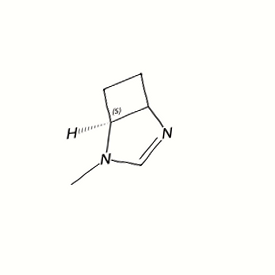 CN1C=NC2CC[C@@H]21